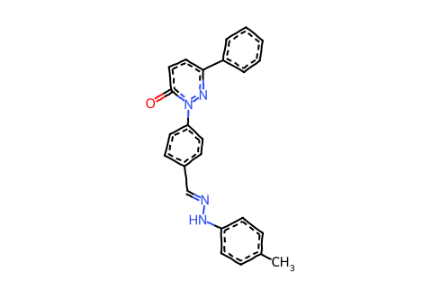 Cc1ccc(N/N=C/c2ccc(-n3nc(-c4ccccc4)ccc3=O)cc2)cc1